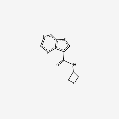 O=C(NC1COC1)c1csc2cncnc12